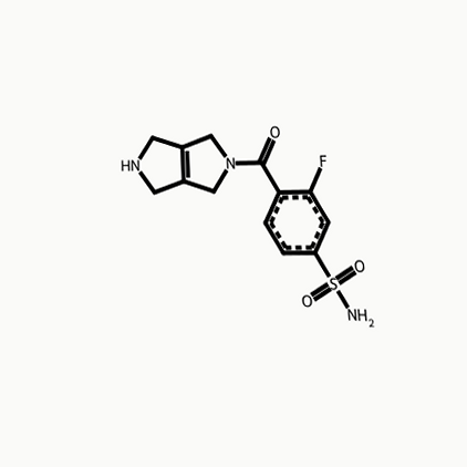 NS(=O)(=O)c1ccc(C(=O)N2CC3=C(CNC3)C2)c(F)c1